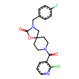 O=C1OC2(CCN(C(=O)c3cccnc3Cl)CC2)CN1Cc1ccc(F)cc1